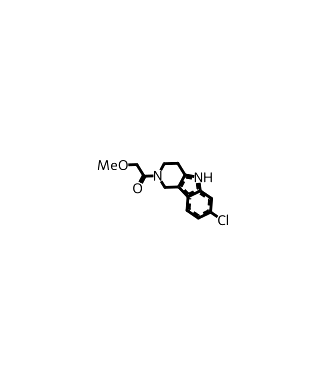 COCC(=O)N1CCc2[nH]c3cc(Cl)ccc3c2C1